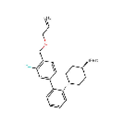 C=CCOCc1ccc(-c2ccccc2[C@H]2CC[C@H](CCCCC)CC2)cc1F